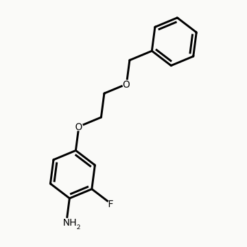 Nc1ccc(OCCOCc2ccccc2)cc1F